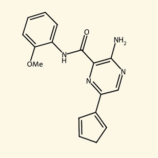 COc1ccccc1NC(=O)c1nc(C2=CCC=C2)cnc1N